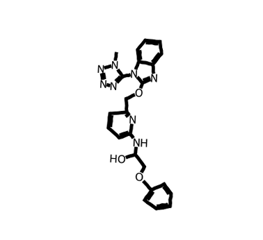 Cn1nnnc1-n1c(OCc2cccc(NC(O)COc3ccccc3)n2)nc2ccccc21